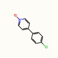 [O-][n+]1ccc(-c2ccc(Cl)cc2)cc1